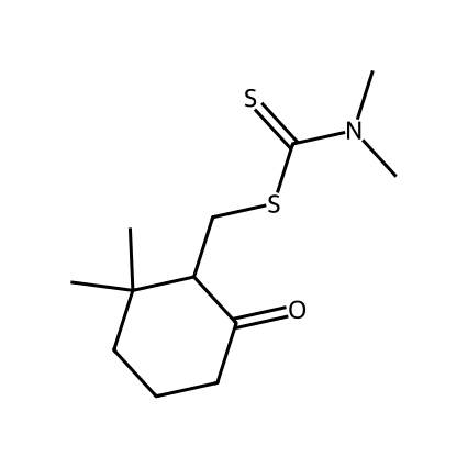 CN(C)C(=S)SCC1C(=O)CCCC1(C)C